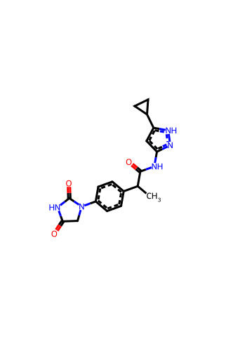 CC(C(=O)Nc1cc(C2CC2)[nH]n1)c1ccc(N2CC(=O)NC2=O)cc1